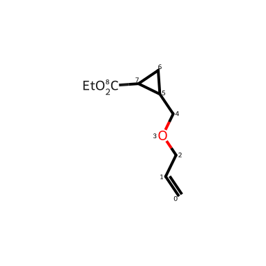 C=CCOCC1CC1C(=O)OCC